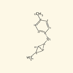 Cc1ccc(OC2C3C(C)C23)cc1